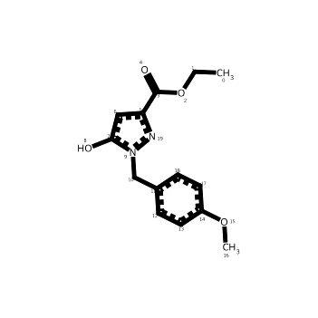 CCOC(=O)c1cc(O)n(Cc2ccc(OC)cc2)n1